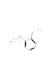 CCc1ccccc1[CH2][Mg][I]